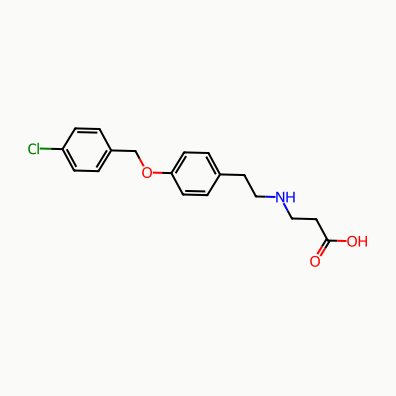 O=C(O)CCNCCc1ccc(OCc2ccc(Cl)cc2)cc1